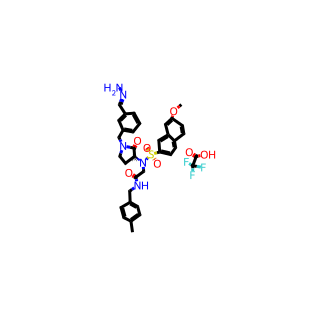 COc1ccc2ccc(S(=O)(=O)N(CC(=O)NCc3ccc(C)cc3)[C@H]3CCN(Cc4cccc(C=NN)c4)C3=O)cc2c1.O=C(O)C(F)(F)F